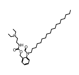 CCCCCCCCCCCCCCCCCCN(C=O)c1ccccc1COC(=O)NCCN(CC)CC